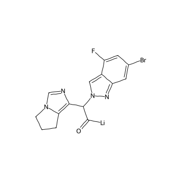 [Li][C](=O)C(c1ncn2c1CCC2)n1cc2c(F)cc(Br)cc2n1